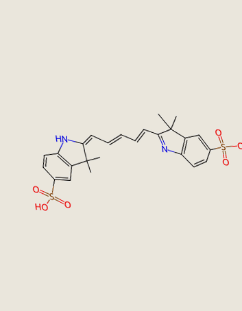 CC1(C)C(C=CC=CC=C2Nc3ccc(S(=O)(=O)O)cc3C2(C)C)=Nc2ccc(S(=O)(=O)O)cc21